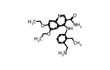 CCOc1cc2ncc(C(N)=O)c(Nc3cccc(CN)c3CC)c2cc1OCC